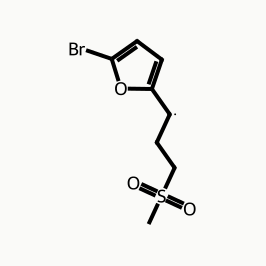 CS(=O)(=O)CC[CH]c1ccc(Br)o1